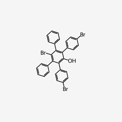 Oc1c(-c2ccc(Br)cc2)c(-c2ccccc2)c(Br)c(-c2ccccc2)c1-c1ccc(Br)cc1